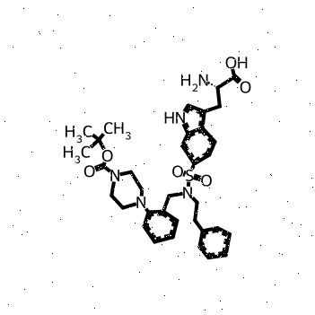 CC(C)(C)OC(=O)N1CCN(c2ccccc2CN(CCc2ccccc2)S(=O)(=O)c2ccc3c(C[C@H](N)C(=O)O)c[nH]c3c2)CC1